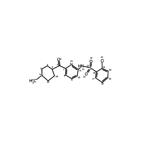 CN1CCC(C(=O)c2cccc(NS(=O)(=O)c3ccccc3Cl)n2)CC1